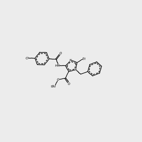 CCc1nc(NC(=O)c2ccc(Cl)cc2)c(C(=O)OC(C)(C)C)n1Cc1ccccc1